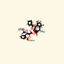 CCCCCCC(=O)O[C@@H](C(=O)O[C@H]1C[C@@]2(O)[C@@H](OC(=O)c3ccccc3)[C@H]3[C@]4(C[C@H]4C[C@H]4OC[C@]43OC(C)=O)C[C@H](OC(C)=O)C(=C1C)C2(C)C)[C@@H](NC(=O)OC(C)(C)C)c1ccccc1